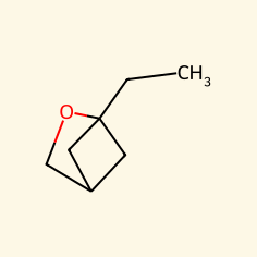 CCC12CC(CO1)C2